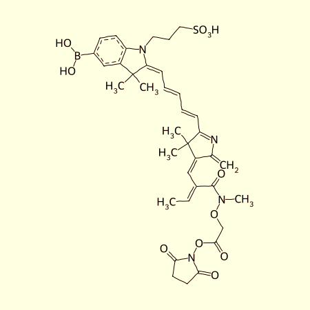 C=C1N=C(/C=C/C=C/C=C2/N(CCCS(=O)(=O)O)c3ccc(B(O)O)cc3C2(C)C)C(C)(C)/C1=C/C(=C\C)C(=O)N(C)OCC(=O)ON1C(=O)CCC1=O